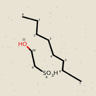 CCCCCCCC.O=S(=O)(O)CCO